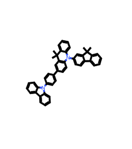 CC1(C)c2ccccc2-c2ccc(N3c4ccccc4C(C)(C)c4cc(-c5ccc(-n6c7ccccc7c7ccccc76)cc5)ccc43)cc21